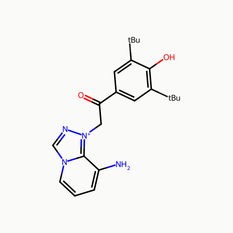 CC(C)(C)c1cc(C(=O)C[n+]2ncn3cccc(N)c32)cc(C(C)(C)C)c1O